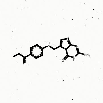 CCC(=O)c1ccc(NCC2=CN=C3N=C(N)NC(=O)C23)cc1